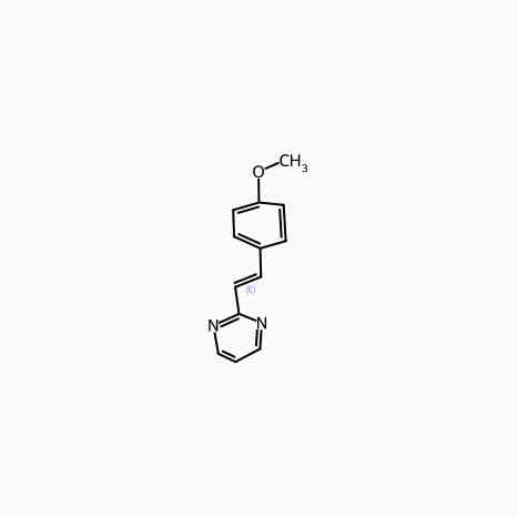 COc1ccc(/C=C/c2ncccn2)cc1